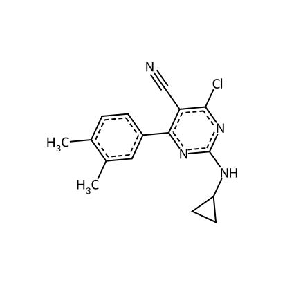 Cc1ccc(-c2nc(NC3CC3)nc(Cl)c2C#N)cc1C